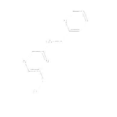 CCOc1cncc(NCc2ccccn2)n1